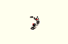 CC(C)(C)OC(=O)NCc1cccc(Oc2cncc(-c3ccccc3F)c2)c1